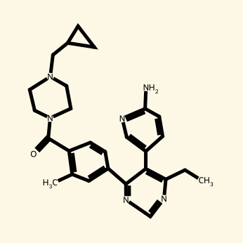 CCc1ncnc(-c2ccc(C(=O)N3CCN(CC4CC4)CC3)c(C)c2)c1-c1ccc(N)nc1